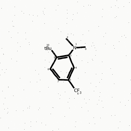 CN(C)c1cc(C(F)(F)F)ccc1C(C)(C)C